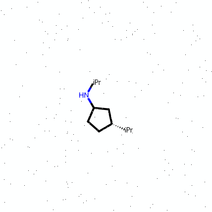 CC(C)NC1CC[C@@H](C(C)C)C1